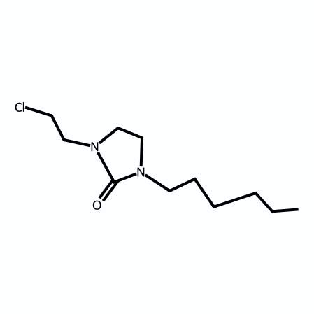 CCCCCCN1CCN(CCCl)C1=O